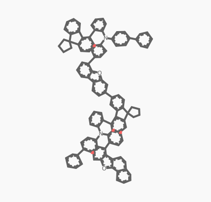 c1ccc(-c2ccc(N(c3ccc(-c4cccc5c4oc4cc(-c6ccc7c(c6)-c6c(-c8ccccc8N(c8ccc(-c9ccccc9)cc8)c8ccccc8-c8cccc9oc%10c%11ccccc%11ccc%10c89)cccc6C76CCCC6)ccc45)cc3)c3ccccc3-c3cccc4c3-c3ccccc3C43CCCC3)cc2)cc1